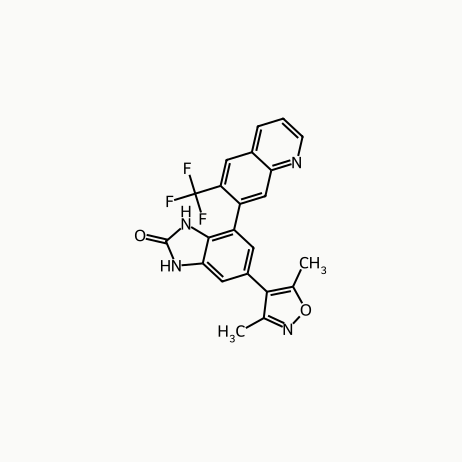 Cc1noc(C)c1-c1cc(-c2cc3ncccc3cc2C(F)(F)F)c2[nH]c(=O)[nH]c2c1